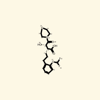 O=C(O)[C@H](CCCc1ccccc1OC(F)F)[C@H](O)C(=O)N1CCOCC1